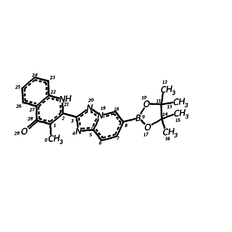 Cc1c(-c2nc3ccc(B4OC(C)(C)C(C)(C)O4)cn3n2)[nH]c2ccccc2c1=O